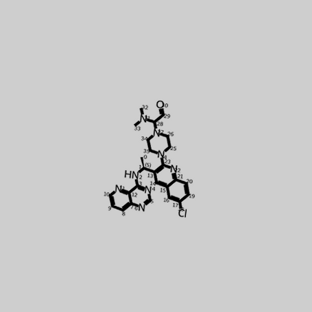 C[C@H](Nc1ncnc2cccnc12)c1cc2cc(Cl)ccc2nc1N1CCN(C(C=O)N(C)C)CC1